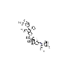 C=C(O)/C(C)=C/c1ccc2nc(C3(NC(=O)c4ccc5c(C6CCCC6)c(-c6cnc(Cl)c(C)c6)n(C)c5c4)CCC3)n(C)c2c1